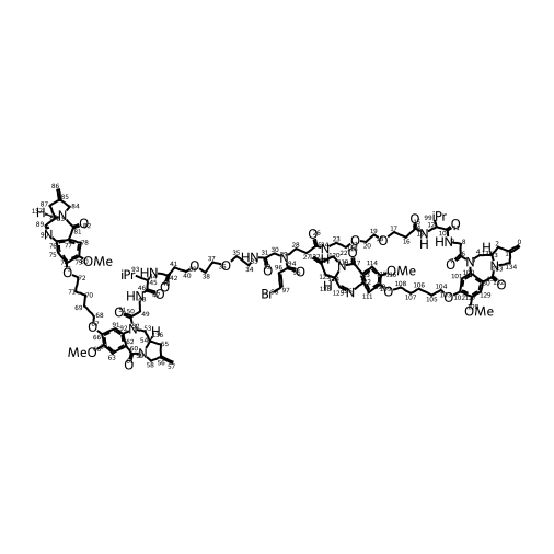 C=C1C[C@H]2CN(C(=O)CNC(=O)C(NC(=O)CCOCCOCCNC(=O)CCN(CC(=O)NCCOCCOCCC(=O)NC(C(=O)NCC(=O)N3C[C@@H]4CC(=C)CN4C(=O)c4cc(OC)c(OCCCCCOc5cc6c(cc5OC)C(=O)N5CC(=C)C[C@H]5C=N6)cc43)C(C)C)C(=O)/C=C/Br)C(C)C)c3cc(OCCCCCOc4cc5c(cc4OC)C(=O)N4CC(=C)C[C@H]4C=N5)c(OC)cc3C(=O)N2C1